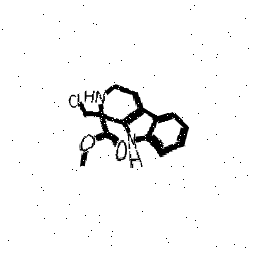 COC(=O)C1(CCl)NCCc2c1[nH]c1ccccc21